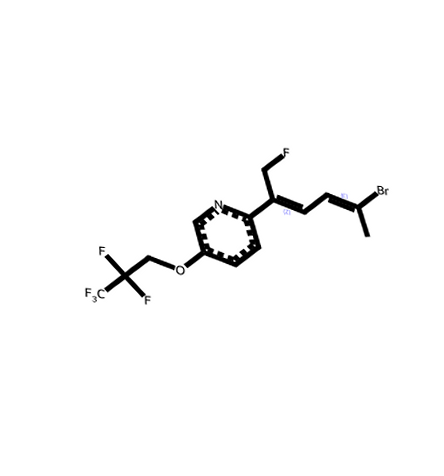 C/C(Br)=C\C=C(/CF)c1ccc(OCC(F)(F)C(F)(F)F)cn1